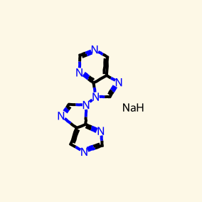 [NaH].c1ncc2ncn(-n3cnc4cncnc43)c2n1